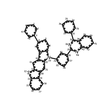 c1ccc(-c2ccc3c(c2)c2cc4sc5ccccc5c4cc2n3-c2cccc(-c3nc(-c4ccccc4)c4ccccc4n3)c2)cc1